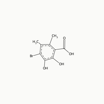 Cc1c(C)c(C(=O)O)c(O)c(O)c1Br